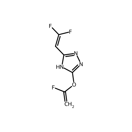 C=C(F)Oc1nnc(C=C(F)F)[nH]1